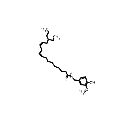 CCCC(CC)C/C=C\C/C=C\CCCCCCCC(=O)NCc1ccc(O)c(OC)c1